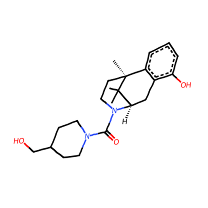 CC1(C)[C@H]2Cc3c(O)cccc3[C@]1(C)CCN2C(=O)N1CCC(CO)CC1